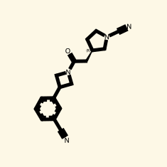 N#Cc1cccc(C2CN(C(=O)C[C@H]3CCN(C#N)C3)C2)c1